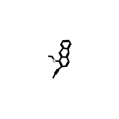 CC#Cc1ccc2cc3ccccc3cc2c1OCC